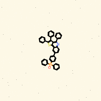 O=P(c1ccccc1)(c1ccccc1)c1ccc(-c2ccc3nc(-c4ccccc4)c4c(-c5ccccc5)c(-c5ccccc5)sc4c3c2)cc1